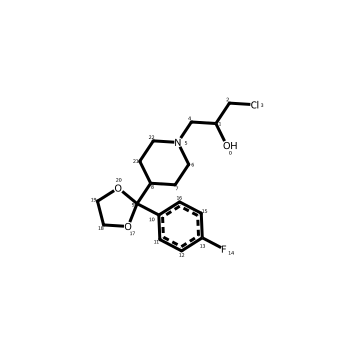 OC(CCl)CN1CCC(C2(c3ccc(F)cc3)OCCO2)CC1